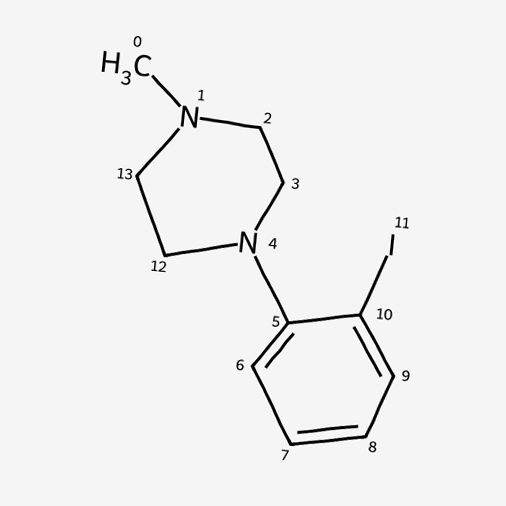 CN1CCN(c2ccccc2I)CC1